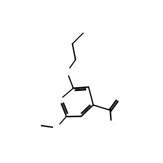 CCCOc1cc(C(=O)O)cc(OC)n1